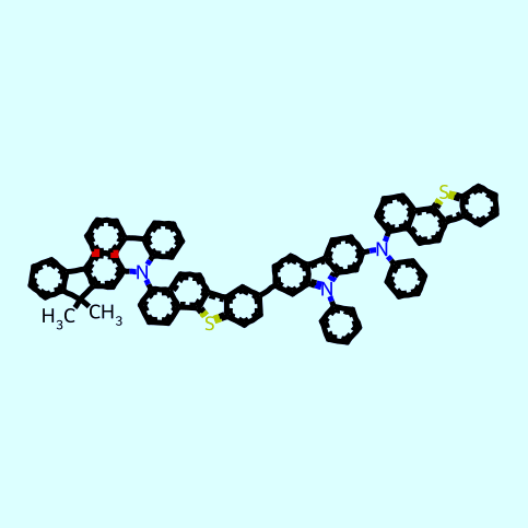 CC1(C)c2ccccc2-c2ccc(N(c3ccccc3-c3ccccc3)c3cccc4c3ccc3c5cc(-c6ccc7c8ccc(N(c9ccccc9)c9cccc%10c9ccc9c%11ccccc%11sc%109)cc8n(-c8ccccc8)c7c6)ccc5sc43)cc21